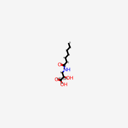 CCCCCCC(=O)NCC(O)C(=O)O